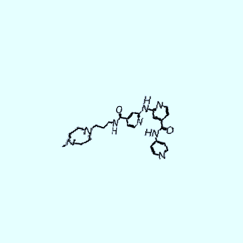 CN1CCN(CCCNC(=O)c2ccnc(Nc3cc(C(=O)Nc4ccncc4)ccn3)c2)CC1